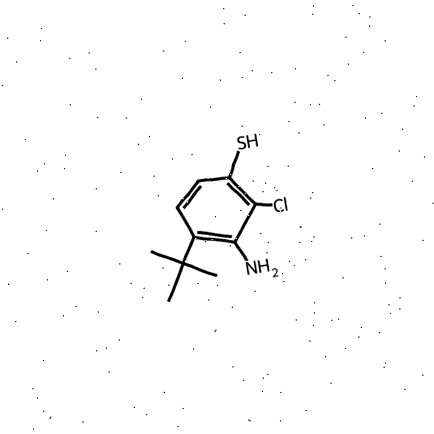 CC(C)(C)c1ccc(S)c(Cl)c1N